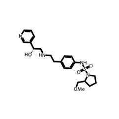 COCC1CCCN1S(=O)(=O)Nc1ccc(CCNC[C@H](O)c2cccnc2)cc1